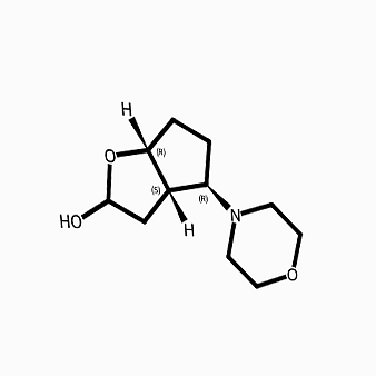 OC1C[C@H]2[C@H](N3CCOCC3)CC[C@H]2O1